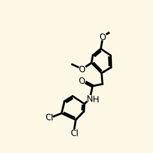 COc1ccc(CC(=O)Nc2ccc(Cl)c(Cl)c2)c(OC)c1